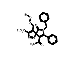 CCOOCC1=C(C(=O)OCC)N=NC12C(=O)N(Cc1ccccc1)C(c1ccccc1)=C2C(N)=O